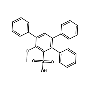 O=S(=O)(O)c1c(OI)c(-c2ccccc2)cc(-c2ccccc2)c1-c1ccccc1